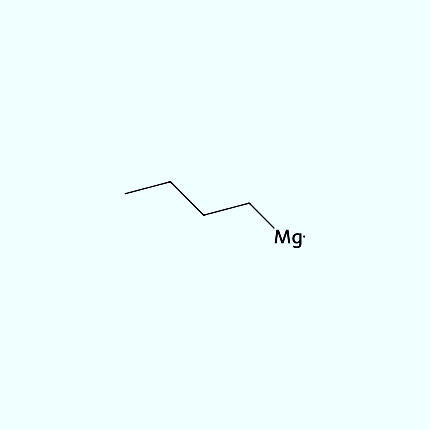 CCC[CH2][Mg]